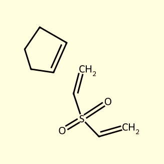 C1=CCCC1.C=CS(=O)(=O)C=C